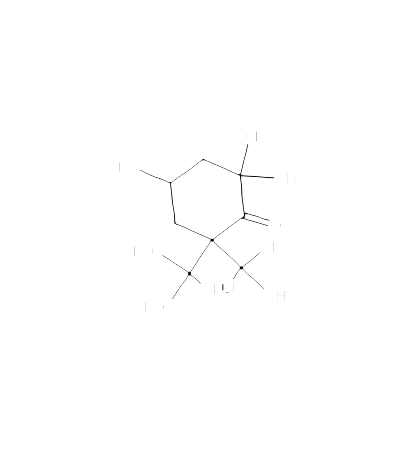 CC1CC(C)(C)C(=O)C(C(C)(C)C)(C(C)(C)C)C1